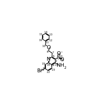 Nc1c([N+](=O)[O-])c(CCOCc2ccccc2)nc2cc(Br)ccc12